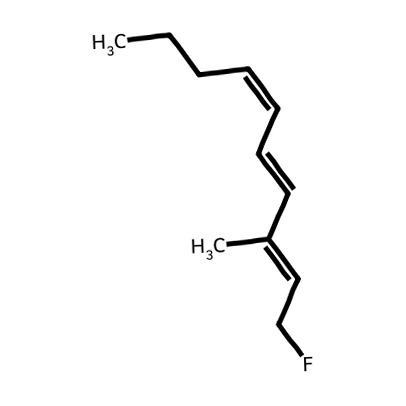 CCC\C=C/C=C/C(C)=C/CF